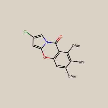 CCCc1c(OC)cc2oc3cc(Cl)cn3c(=O)c2c1OC